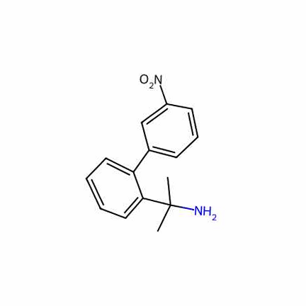 CC(C)(N)c1ccccc1-c1cccc([N+](=O)[O-])c1